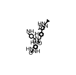 Cc1nc2[nH]c(C3CC3)nc2cc1-c1ccc(C[C@H](NC(=O)C2CCC(CN)CC2)C(=O)Nc2ccc3[nH]c(=O)[nH]c3c2)cc1